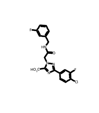 O=C(Cn1nc(-c2ccc(Cl)c(F)c2)nc1C(=O)O)NCc1cccc(F)c1